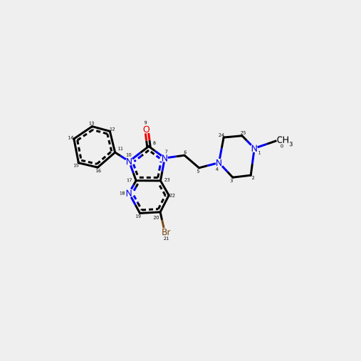 CN1CCN(CCn2c(=O)n(-c3ccccc3)c3ncc(Br)cc32)CC1